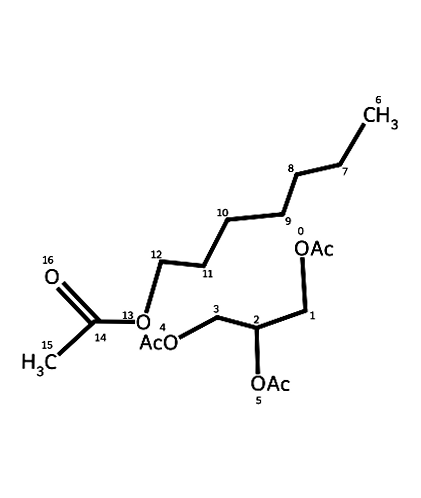 CC(=O)OCC(COC(C)=O)OC(C)=O.CCCCCCCOC(C)=O